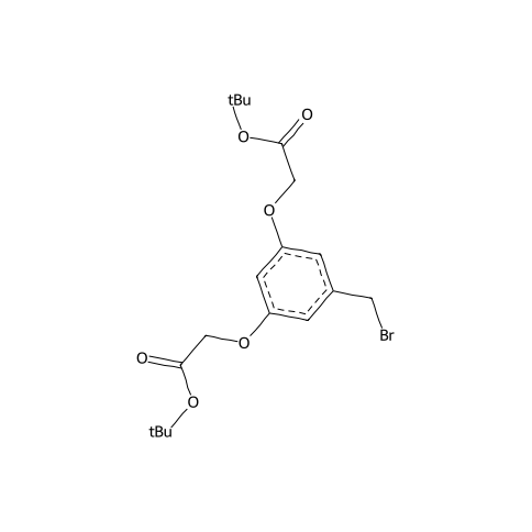 CC(C)(C)OC(=O)COc1cc(CBr)cc(OCC(=O)OC(C)(C)C)c1